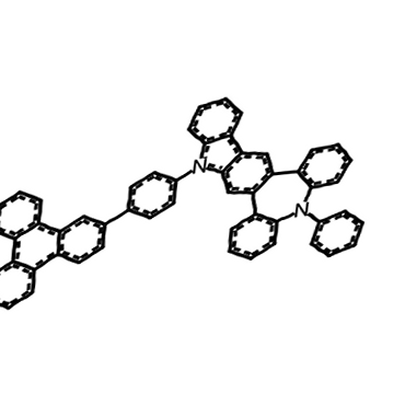 c1ccc(N2c3ccccc3-c3cc4c5ccccc5n(-c5ccc(-c6ccc7c8ccccc8c8ccccc8c7c6)cc5)c4cc3-c3ccccc32)cc1